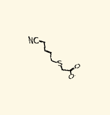 N#CCCCCSCC([O])=O